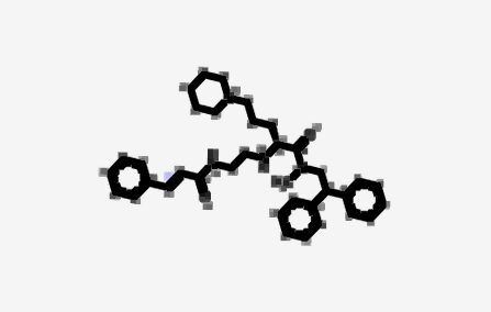 CN(CC(c1ccccc1)c1ccccc1)C(=O)[C@H](CCCN1CCCCC1)NCCNC(=O)/C=C/c1ccccc1